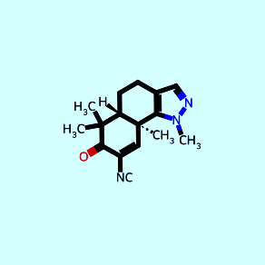 [C-]#[N+]C1=C[C@]2(C)c3c(cnn3C)CC[C@H]2C(C)(C)C1=O